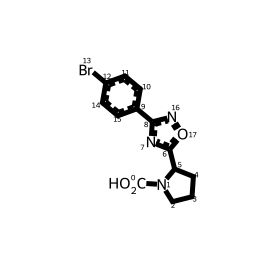 O=C(O)N1CCCC1c1nc(-c2ccc(Br)cc2)no1